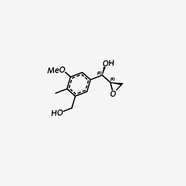 COc1cc([C@@H](O)[C@H]2CO2)cc(CO)c1C